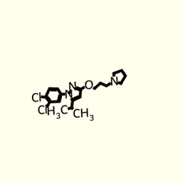 CC(C)c1cc(OCCCN2CCCC2)nn1-c1ccc(Cl)c(Cl)c1